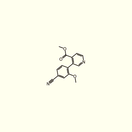 COC(=O)c1ccncc1-c1ccc(C#N)cc1OC